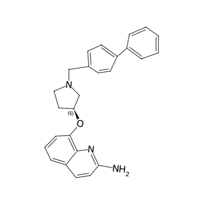 Nc1ccc2cccc(O[C@H]3CCN(Cc4ccc(-c5ccccc5)cc4)C3)c2n1